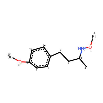 CCONC(C)CCc1ccc(OC(C)CC)cc1